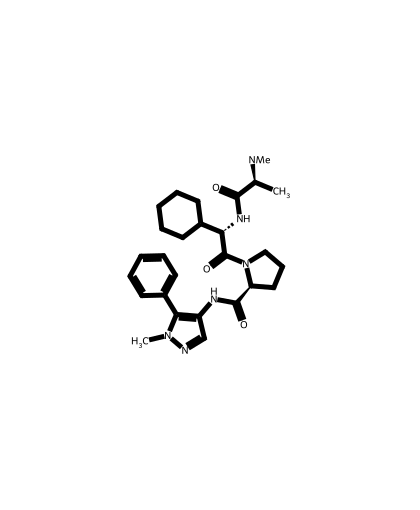 CN[C@@H](C)C(=O)N[C@H](C(=O)N1CCC[C@H]1C(=O)Nc1cnn(C)c1-c1ccccc1)C1CCCCC1